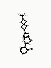 CC(=O)N1CC2(CC(c3cc4cc(-c5ccccc5O)nnc4[nH]3)C2)C1